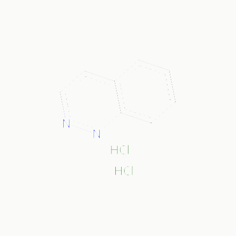 Cl.Cl.c1ccc2nnccc2c1